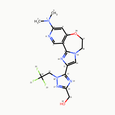 CN(C)c1cc2c(cn1)-c1nc(-c3nc(CO)nn3CC(F)(F)F)cn1CCO2